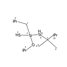 CC(C)C[Si](S)(OC(C)C)[SiH2]C(C)(C)C(C)C